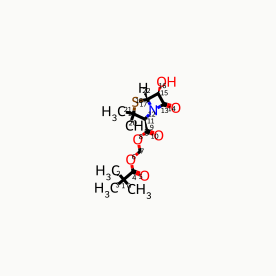 CC(C)(C)C(=O)OCOC(=O)[C@@H]1N2C(=O)[C@H](O)[C@H]2SC1(C)C